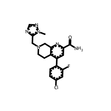 Cn1ncnc1CN1CCc2c(-c3ccc(Cl)cc3F)cc(C(N)=O)nc2C1